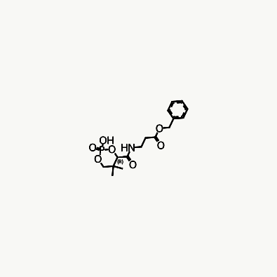 CC1(C)COP(=O)(O)O[C@H]1C(=O)NCCC(=O)OCc1ccccc1